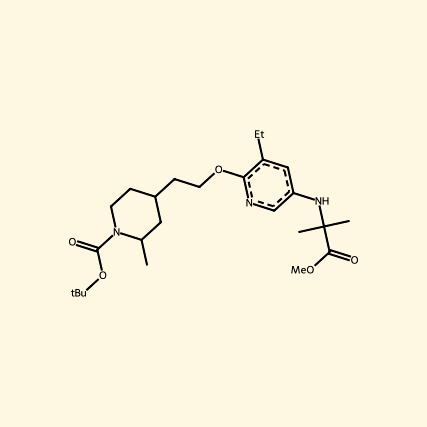 CCc1cc(NC(C)(C)C(=O)OC)cnc1OCCC1CCN(C(=O)OC(C)(C)C)C(C)C1